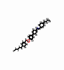 CCCCCC1C=CC(COc2ccc(C3CCC(/C=C/C4CCC(CCCC)CC4)CC3)cc2)CC1